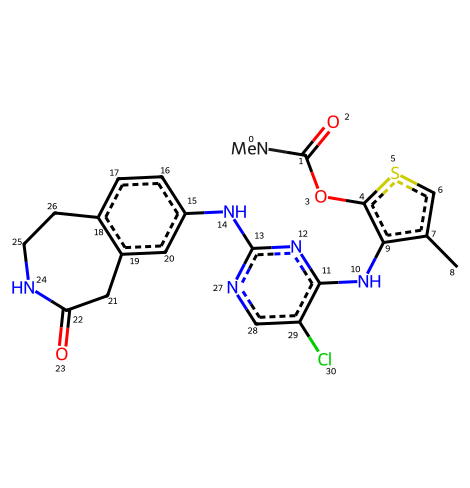 CNC(=O)Oc1scc(C)c1Nc1nc(Nc2ccc3c(c2)CC(=O)NCC3)ncc1Cl